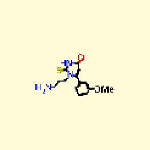 COc1cccc(-c2cc(=O)[nH]c(=S)n2CCCN)c1